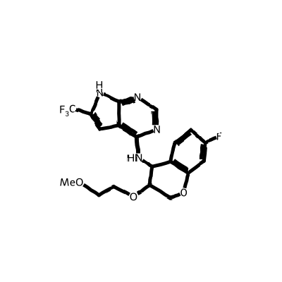 COCCOC1COc2cc(F)ccc2C1Nc1ncnc2[nH]c(C(F)(F)F)cc12